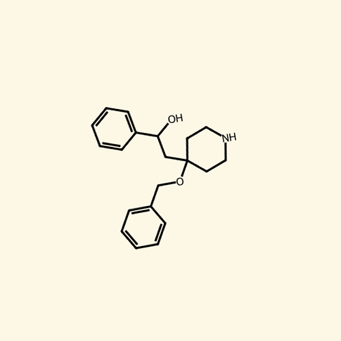 OC(CC1(OCc2ccccc2)CCNCC1)c1ccccc1